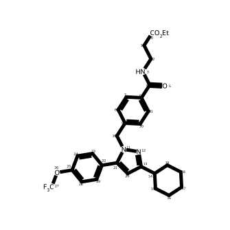 CCOC(=O)CCNC(=O)c1ccc(Cn2nc(C3CCCCC3)cc2-c2ccc(OC(F)(F)F)cc2)cc1